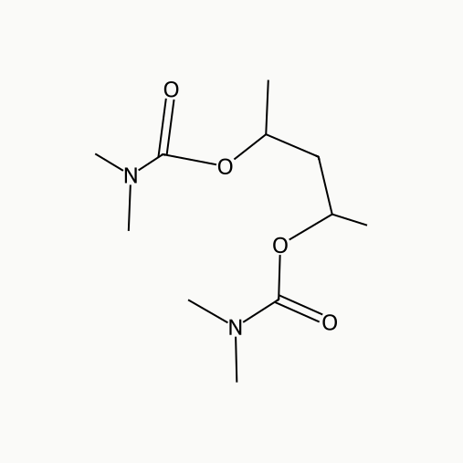 CC(CC(C)OC(=O)N(C)C)OC(=O)N(C)C